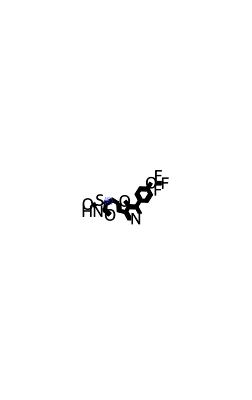 O=C1NC(=O)/C(=C\c2cc3cncc(-c4ccc(OC(F)(F)F)cc4)c3o2)S1